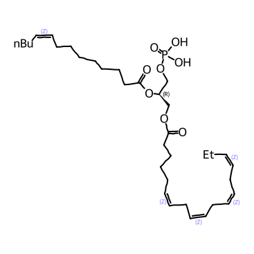 CC/C=C\C/C=C\C/C=C\C/C=C\CCCCC(=O)OC[C@H](COP(=O)(O)O)OC(=O)CCCCCCC/C=C\CCCC